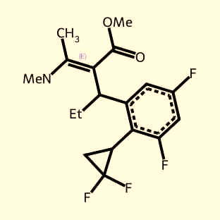 CCC(/C(C(=O)OC)=C(/C)NC)c1cc(F)cc(F)c1C1CC1(F)F